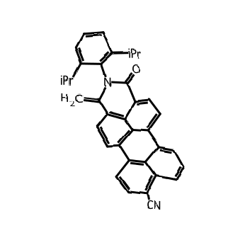 C=c1c2ccc3c4ccc(C#N)c5cccc(c6ccc(c(=O)n1-c1c(C(C)C)cccc1C(C)C)c2c36)c54